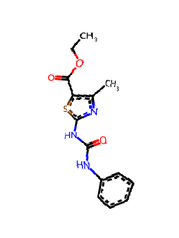 CCOC(=O)c1sc(NC(=O)Nc2ccccc2)nc1C